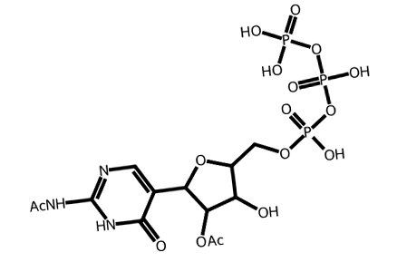 CC(=O)Nc1ncc(C2OC(COP(=O)(O)OP(=O)(O)OP(=O)(O)O)C(O)C2OC(C)=O)c(=O)[nH]1